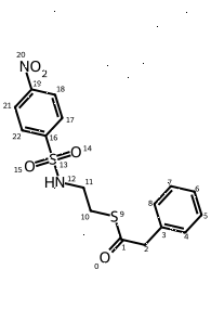 O=C(Cc1ccccc1)SCCNS(=O)(=O)c1ccc([N+](=O)[O-])cc1